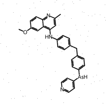 COc1ccc2nc(C)cc(Nc3ccc(Cc4ccc([AsH]c5ccncc5)cc4)cc3)c2c1